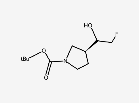 CC(C)(C)OC(=O)N1CC[C@H](C(O)CF)C1